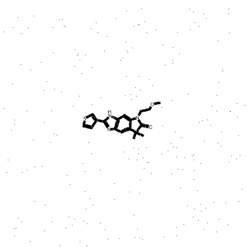 COCCN1C(=O)C(C)(C)c2cc3nc(-c4ccsc4)[nH]c3cc21